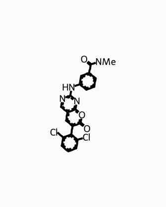 CNC(=O)c1cccc(Nc2ncc3cc(-c4c(Cl)cccc4Cl)c(=O)oc3n2)c1